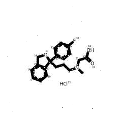 CN(CCCC1(c2ccc(F)cc2)OCc2ccccc21)CC(=O)O.Cl